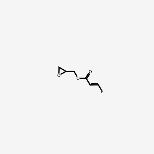 O=C(C=CF)OCC1CO1